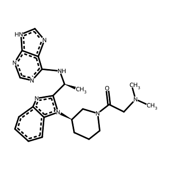 C[C@H](Nc1ncnc2[nH]cnc12)c1nc2ccccc2n1[C@@H]1CCCN(C(=O)CN(C)C)C1